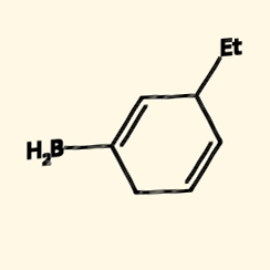 BC1=CC(CC)C=CC1